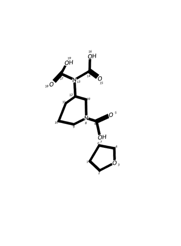 C1CCOC1.O=C(O)N1CCCC(N(C(=O)O)C(=O)O)C1